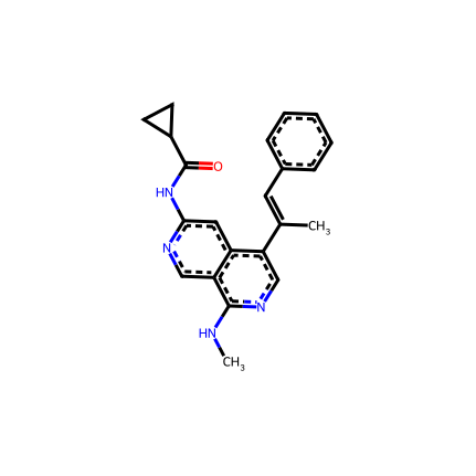 CNc1ncc(C(C)=Cc2ccccc2)c2cc(NC(=O)C3CC3)ncc12